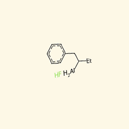 CC[CH]([AlH2])Cc1ccccc1.F